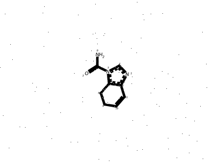 NC(=O)n1cnc2c1CCC=C2